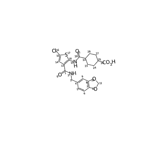 O=C(NCc1ccc2c(c1)OCO2)c1cc(Cl)sc1NC(=O)C1CCC(C(=O)O)CC1